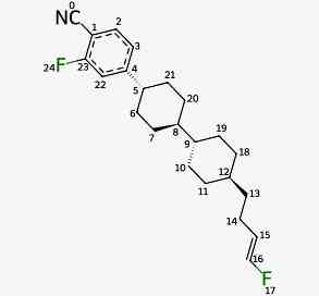 N#Cc1ccc([C@H]2CC[C@H]([C@H]3CC[C@H](CCC=CF)CC3)CC2)cc1F